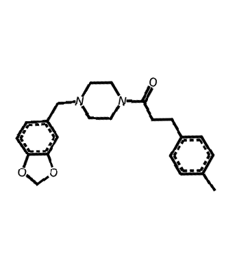 Cc1ccc(CCC(=O)N2CCN(Cc3ccc4c(c3)OCO4)CC2)cc1